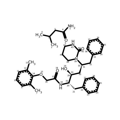 CC(C)CC(N)=O.Cc1cccc(C)c1OCC(=O)N[C@@H](Cc1ccccc1)[C@@H](O)C[C@H](Cc1ccccc1)N1CCCNC1=O